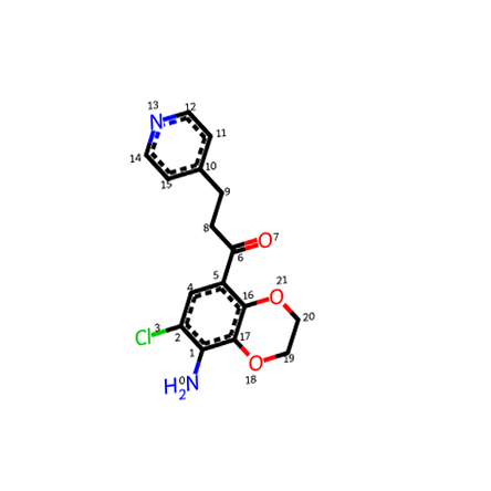 Nc1c(Cl)cc(C(=O)CCc2ccncc2)c2c1OCCO2